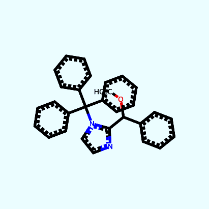 O=C(O)OC(c1ccccc1)c1nccn1C(c1ccccc1)(c1ccccc1)c1ccccc1